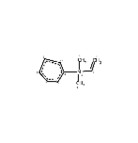 C=C[N+](C)(C)c1ccccc1